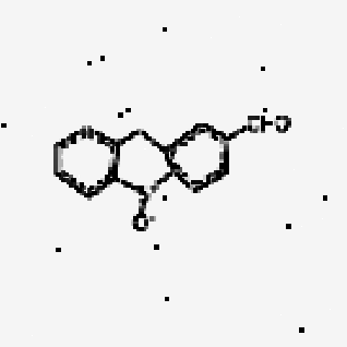 O=Cc1ccc2c(c1)Cc1ccccc1[S+]2[O-]